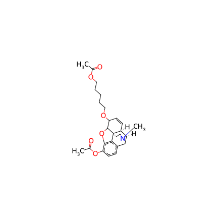 CC(=O)OCCCCCOC1C=C[C@H]2[C@H]3Cc4ccc(OC(C)=O)c5c4[C@@]2(CCN3C)C1O5